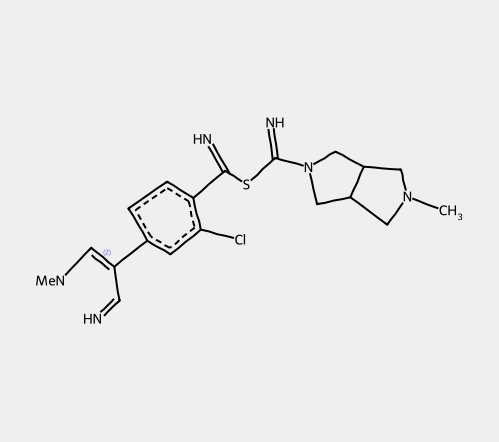 CN/C=C(\C=N)c1ccc(C(=N)SC(=N)N2CC3CN(C)CC3C2)c(Cl)c1